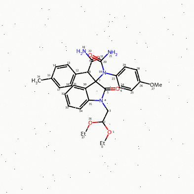 CCOC(CN1C(=O)C(C(C(N)=O)c2ccc(C)cc2)(N(C(N)=O)c2ccc(OC)cc2)c2ccccc21)OCC